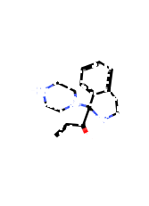 C=CC(=O)C1(N2CCNCC2)NCCc2ccccc21